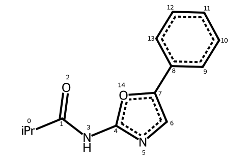 CC(C)C(=O)Nc1ncc(-c2ccccc2)o1